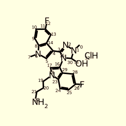 CN1N=C(c2cn(C)c3ccc(F)cc23)N(c2cn(CCCN)c3ccc(F)cc23)C1O.Cl